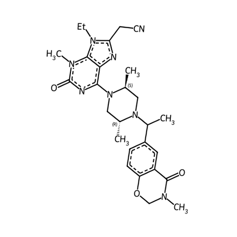 CCn1c(CC#N)nc2c(N3C[C@@H](C)N(C(C)c4ccc5c(c4)C(=O)N(C)CO5)C[C@@H]3C)nc(=O)n(C)c21